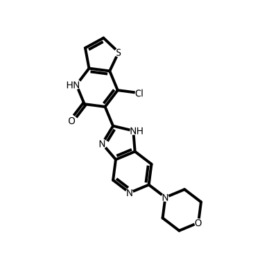 O=c1[nH]c2ccsc2c(Cl)c1-c1nc2cnc(N3CCOCC3)cc2[nH]1